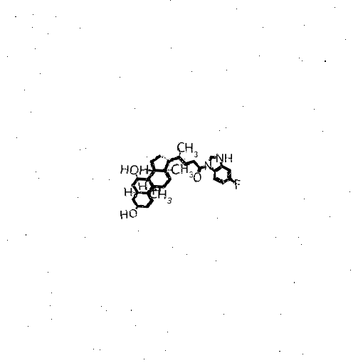 C[C@H](CCC(=O)N1CNc2cc(F)ccc21)[C@H]1CC[C@H]2[C@@H]3[C@@H](O)C[C@@H]4C[C@H](O)CC[C@]4(C)[C@H]3CC[C@]12C